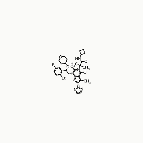 CCc1ccc(F)cc1C(Cn1c(=O)n(C(C)(C)C(=O)NC2CCC2)c(=O)c2c(C)c(-n3nccn3)sc21)OC1CCOCC1